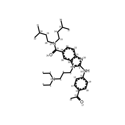 CCN(CC)CCCn1c(Nc2ccc(C(C)=O)cc2)nc2ccc(C(=O)N(CCC(C)C)CCC(C)C)cc21